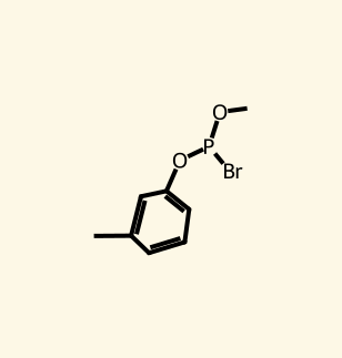 COP(Br)Oc1cccc(C)c1